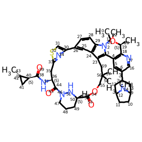 CCn1c(-c2cc(C3CC4CCC(C3)N4C)cnc2[C@H](C)OC)c2c3cc(ccc31)-c1csc(n1)C[C@H](NC(=O)[C@H]1C[C@@H]1C)C(=O)N1CCC[C@H](N1)C(=O)OCC(C)(C)C2